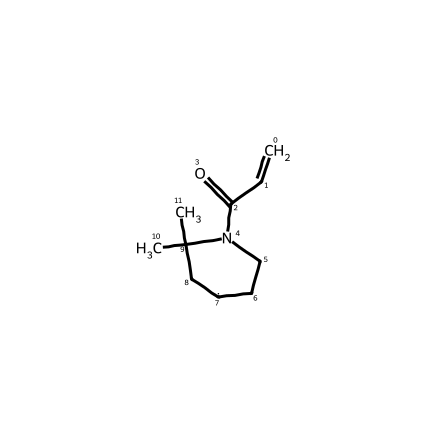 C=CC(=O)N1CC[CH]CC1(C)C